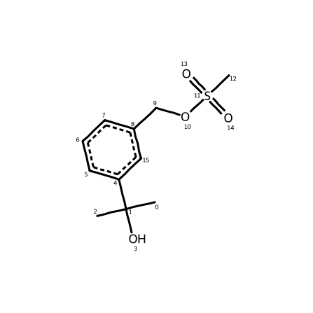 CC(C)(O)c1cccc(COS(C)(=O)=O)c1